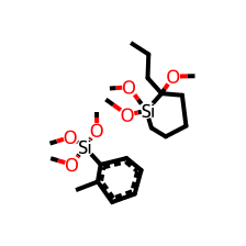 CCCC1(OC)CCCC[Si]1(OC)OC.CO[Si](OC)(OC)c1ccccc1C